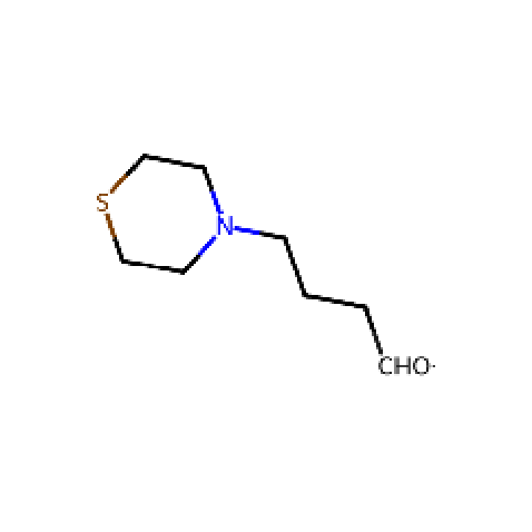 O=[C]CCCN1CCSCC1